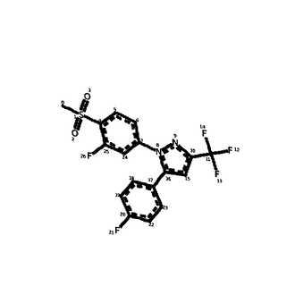 CS(=O)(=O)c1ccc(-n2nc(C(F)(F)F)cc2-c2ccc(F)cc2)cc1F